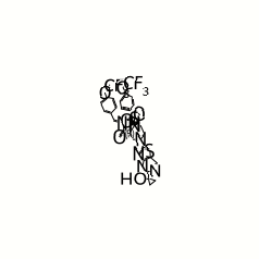 O=C(NCc1ccc(OC(F)(F)F)cc1)[C@H]1CN(c2nc3nc(C4(O)CC4)ncc3s2)CCN1S(=O)(=O)c1ccc(OC(F)(F)F)cc1